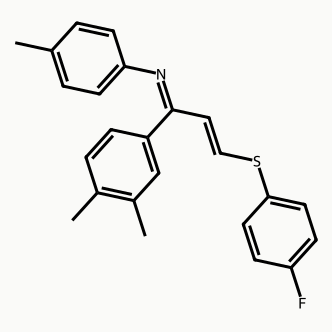 Cc1ccc(N=C(C=CSc2ccc(F)cc2)c2ccc(C)c(C)c2)cc1